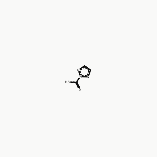 NC(=S)n1nccn1